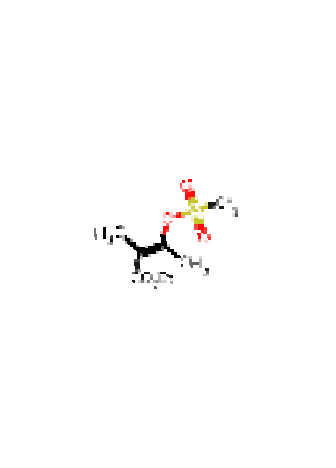 CCOC(=O)/C(C)=C(\C)OS(=O)(=O)C(F)(F)F